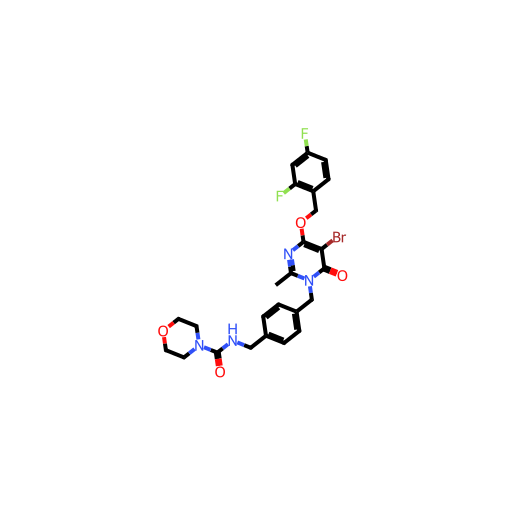 Cc1nc(OCc2ccc(F)cc2F)c(Br)c(=O)n1Cc1ccc(CNC(=O)N2CCOCC2)cc1